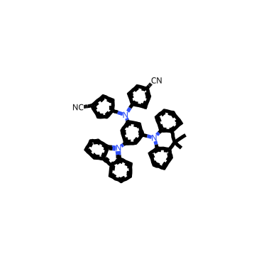 CC1(C)c2ccccc2N(c2cc(N(c3ccc(C#N)cc3)c3ccc(C#N)cc3)cc(-n3c4ccccc4c4ccccc43)c2)c2ccccc21